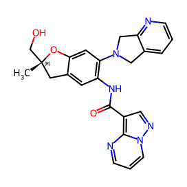 C[C@]1(CO)Cc2cc(NC(=O)c3cnn4cccnc34)c(N3Cc4cccnc4C3)cc2O1